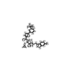 O=C(N[C@@H](CC1CC1)C(=O)NCCN1CCc2cc(F)ccc21)c1ccc(-c2cccc(C(F)(F)F)c2)o1